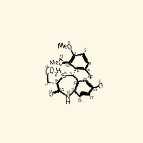 COc1ccc(F)c([C@H]2S[C@H](CC(=O)O)C(=O)Nc3ccc(Cl)cc32)c1OC